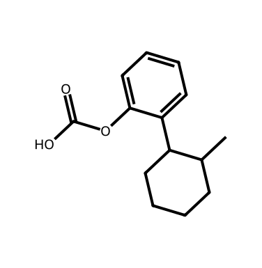 CC1CCCCC1c1ccccc1OC(=O)O